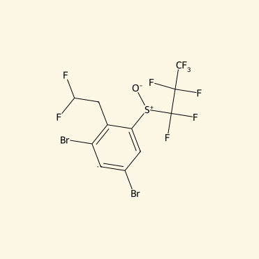 [O-][S+](c1cc(Br)[c]c(Br)c1CC(F)F)C(F)(F)C(F)(F)C(F)(F)F